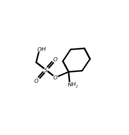 NC1(OS(=O)(=O)CO)CCCCC1